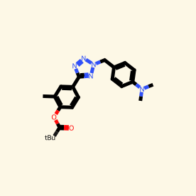 Cc1cc(-c2nnn(Cc3ccc(N(C)C)cc3)n2)ccc1OC(=O)C(C)(C)C